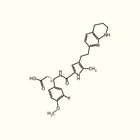 COc1ccc([C@H](CC(=O)O)NC(=O)c2cc(CCc3ccc4c(n3)NCCC4)c(C)[nH]2)cc1F